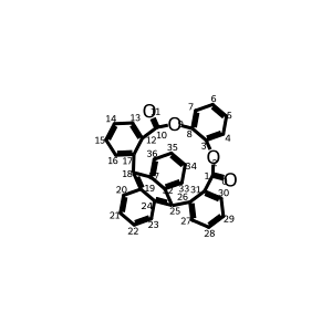 O=c1oc2ccccc2oc(=O)c2ccccc2c2c3ccccc3c(c3ccccc13)c1ccccc12